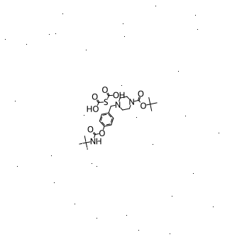 CC(C)(C)NC(=O)Oc1ccc(CN2CCN(C(=O)OC(C)(C)C)CC2)cc1.O=C(O)SC(=O)O